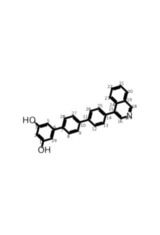 Oc1cc(O)cc(-c2ccc(-c3ccc(-c4cncc5ccccc45)cc3)cc2)c1